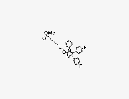 COC(=O)CCCCCCCOc1nc(-c2ccc(F)cc2)c(-c2ccc(F)cc2)n1-c1ccccc1